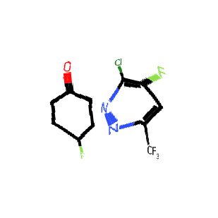 Fc1cc(C(F)(F)F)nnc1Cl.O=C1CCC(F)CC1